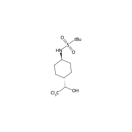 CC(C)(C)S(=O)(=O)N[C@H]1CC[C@H](C(O)C(Cl)(Cl)Cl)CC1